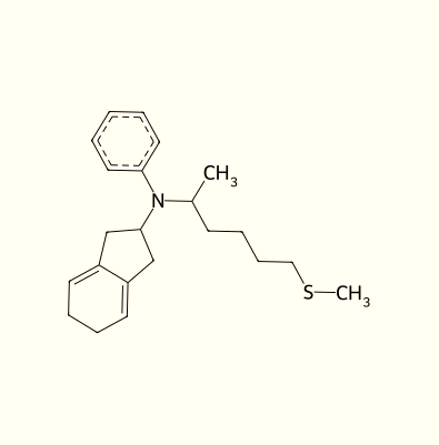 CSCCCCC(C)N(c1ccccc1)C1CC2=CCCC=C2C1